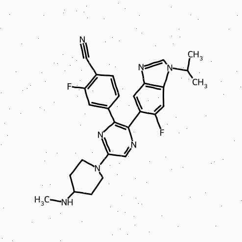 CNC1CCN(c2cnc(-c3cc4ncn(C(C)C)c4cc3F)c(-c3ccc(C#N)c(F)c3)n2)CC1